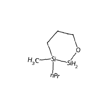 CCC[Si]1(C)CCCO[SiH2]1